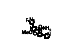 COc1nc(-c2ccnc(F)c2)cc2c1Oc1ccc(-c3cccnc3)cc1C21COC(N)=N1